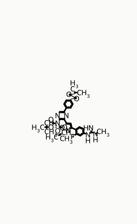 CNC(=N)Nc1ccc(-c2cc(-c3nc(-c4ccc(S(=O)(=O)C(C)C)cc4)cnc3N(C(=O)OC(C)(C)C)C(=O)OC(C)(C)C)on2)c(F)c1